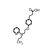 CCCN(CCOc1ccc(CCC(=O)O)cc1)c1ccccn1